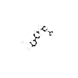 COc1nc(-c2cnc(Nc3cnn(C4COC4)c3)nc2)ccc1C#N